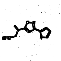 CC(CC=O)c1cc(-c2cccs2)no1